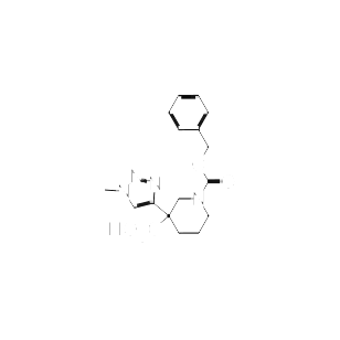 Cn1cc(C2(C(=O)O)CCCN(C(=O)OCc3ccccc3)C2)nn1